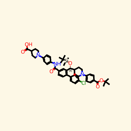 CC(C)(C)OC(=O)c1ccc(N2CCC([C@@H](O[Si](C)(C)C(C)(C)C)c3cc(C(=O)Nc4ccc(N5CCC(C(=O)O)CC5)cc4)ccc3-c3ccc(Cl)cc3)CC2)cc1